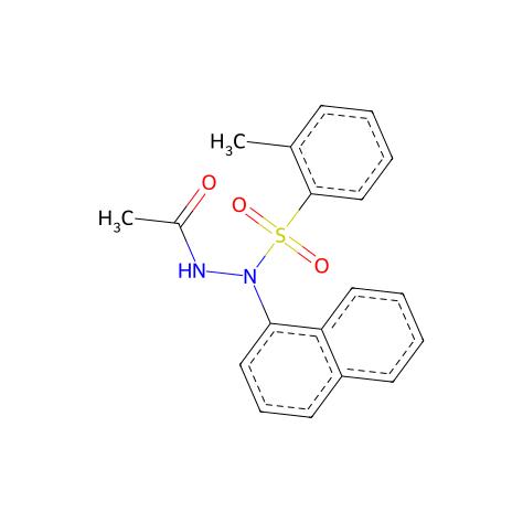 CC(=O)NN(c1cccc2ccccc12)S(=O)(=O)c1ccccc1C